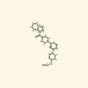 CCCCCCOc1ccc(-c2nccc(-c3ccc(C(=O)n4nnc5ccccc54)cc3)n2)cc1